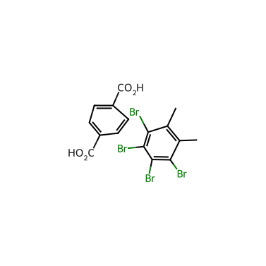 Cc1c(C)c(Br)c(Br)c(Br)c1Br.O=C(O)c1ccc(C(=O)O)cc1